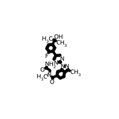 Cc1nn(-c2ncc(-c3cc(C(C)(C)O)ccc3F)cn2)c2cc(C(=O)N(C)CC(N)=O)ccc12